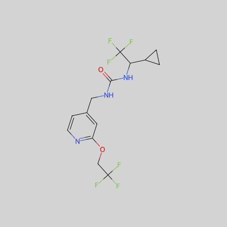 O=C(NCc1ccnc(OCC(F)(F)F)c1)NC(C1CC1)C(F)(F)F